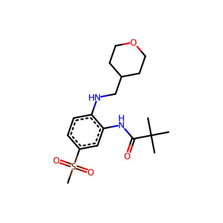 CC(C)(C)C(=O)Nc1cc(S(C)(=O)=O)ccc1NCC1CCOCC1